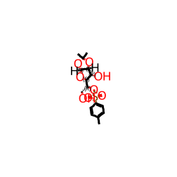 Cc1ccc(S(=O)(=O)O[C@H](CO)[C@H]2O[C@@H]3OC(C)(C)O[C@@H]3[C@@H]2O)cc1